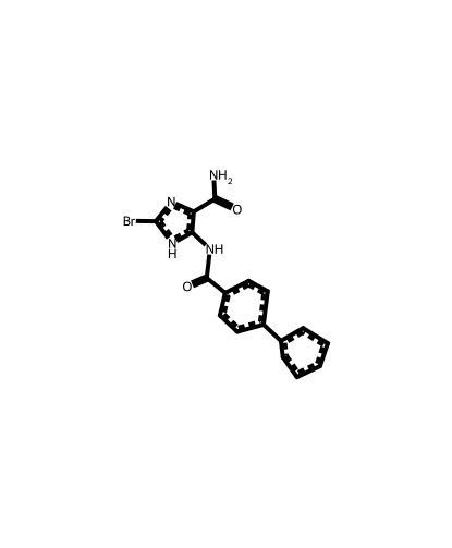 NC(=O)c1nc(Br)[nH]c1NC(=O)c1ccc(-c2ccccc2)cc1